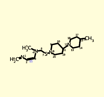 C=N/C=C\N(C)CSN1CCC(N2CCC(C)CC2)CC1